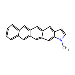 Cn1ccc2cc3cc4cc5ccccc5cc4cc3cc21